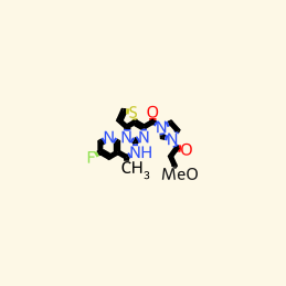 COCCC(=O)N1CCN(C(=O)c2nc(NC(C)c3cncc(F)c3)nc3ccsc23)C1